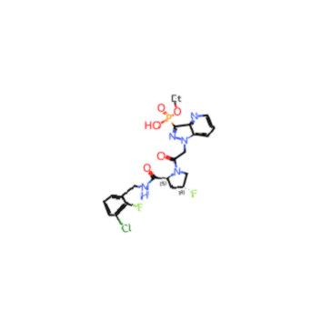 CCOP(=O)(O)c1nn(CC(=O)N2C[C@H](F)C[C@H]2C(=O)NCc2cccc(Cl)c2F)c2cccnc12